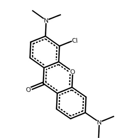 CN(C)c1ccc2c(=O)c3ccc(N(C)C)c(Cl)c3oc2c1